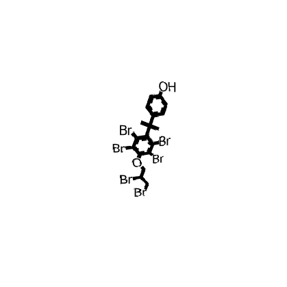 CC(C)(c1ccc(O)cc1)c1c(Br)c(Br)c(OCC(Br)CBr)c(Br)c1Br